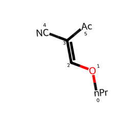 CCCO/C=C(/C#N)C(C)=O